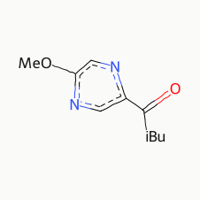 CCC(C)C(=O)c1cnc(OC)cn1